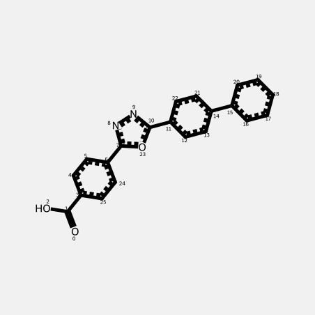 O=C(O)c1ccc(-c2nnc(-c3ccc(-c4ccccc4)cc3)o2)cc1